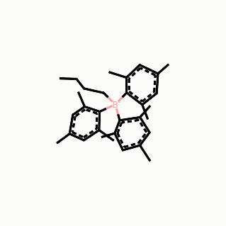 CCCC[B-](c1c(C)cc(C)cc1C)(c1c(C)cc(C)cc1C)c1c(C)cc(C)cc1C